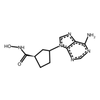 Nc1ncnc2c1ncn2C1CC[C@@H](C(=O)NO)C1